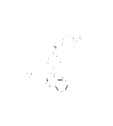 CCN1CCC(C(=O)N2CCC(n3c(SC)nc4cccnc43)CC2)CC1